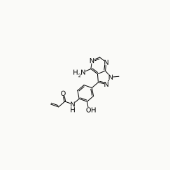 C=CC(=O)Nc1ccc(-c2nn(C)c3ncnc(N)c23)cc1O